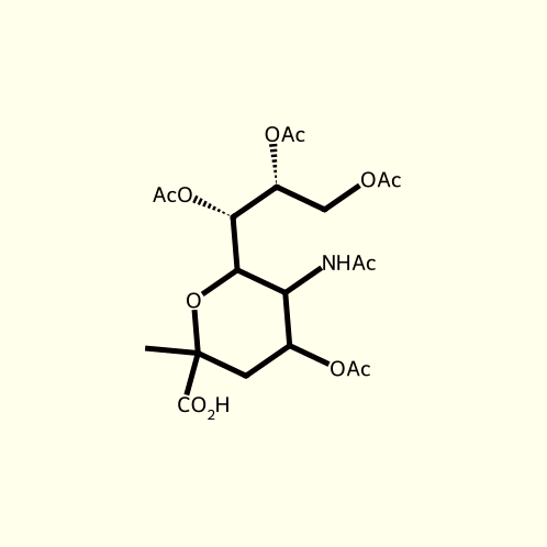 CC(=O)NC1C(OC(C)=O)CC(C)(C(=O)O)OC1[C@H](OC(C)=O)[C@@H](COC(C)=O)OC(C)=O